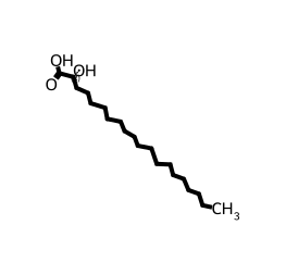 CCCCCCCCCCCCCCCCCC[C@@H](O)C(=O)O